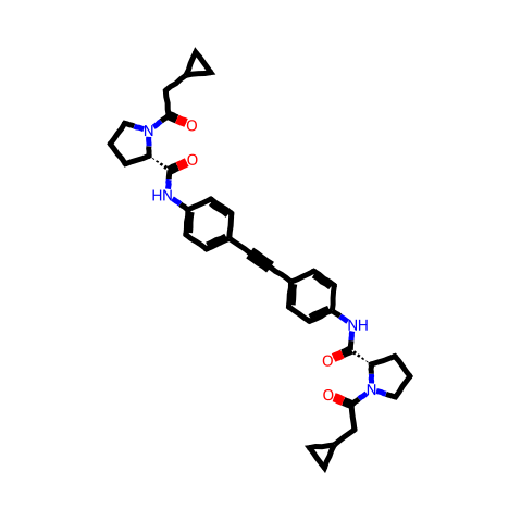 O=C(Nc1ccc(C#Cc2ccc(NC(=O)[C@@H]3CCCN3C(=O)CC3CC3)cc2)cc1)[C@@H]1CCCN1C(=O)CC1CC1